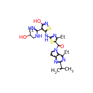 C=C(C)c1nc(CC)c2c(ccn2C(=O)c2sc(Nc3snc(O)c3C(=N)NCC(O)CC)nc2CC)n1